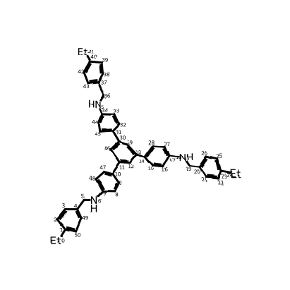 CCc1ccc(CNc2ccc(-c3cc(-c4ccc(NCc5ccc(CC)cc5)cc4)cc(-c4ccc(NCc5ccc(CC)cc5)cc4)c3)cc2)cc1